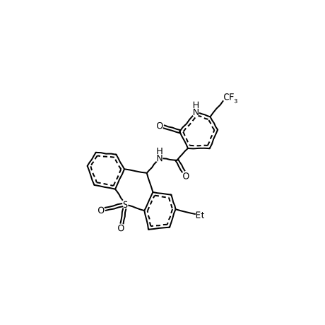 CCc1ccc2c(c1)C(NC(=O)c1ccc(C(F)(F)F)[nH]c1=O)c1ccccc1S2(=O)=O